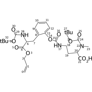 C=CCOC(=O)C(Cc1ccccc1OC(=O)NCCC(C(=O)O)N(C)C(=O)OC(C)(C)C)NC(=O)OC(C)(C)C